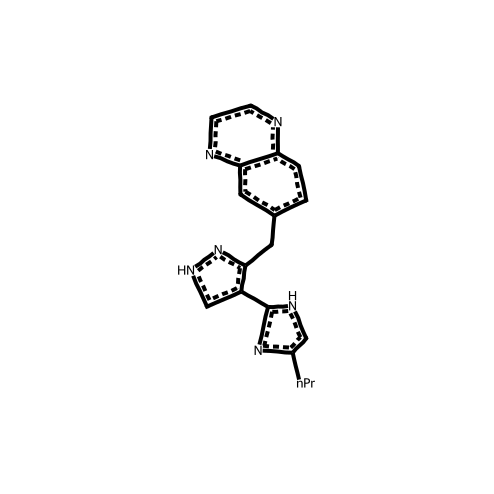 CCCc1c[nH]c(-c2c[nH]nc2Cc2ccc3nccnc3c2)n1